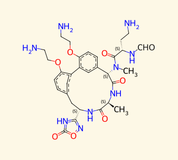 C[C@@H]1NC(=O)[C@@H](N(C)C(=O)[C@H](CCN)NC=O)c2ccc(OCCN)c(c2)-c2cc(ccc2OCCN)C[C@@H](c2noc(=O)[nH]2)NC1=O